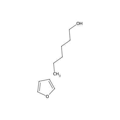 CCCCCCO.c1ccoc1